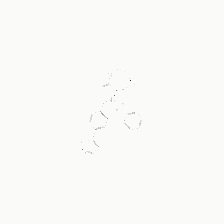 O=C1NCCC(F)(F)C[C@H]1N(Cc1ccc(-c2ccno2)cc1)S(=O)(=O)c1ccccc1